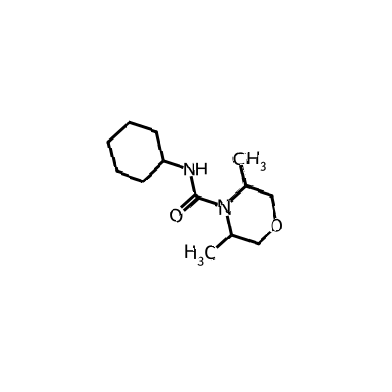 CC1COCC(C)N1C(=O)NC1CCCCC1